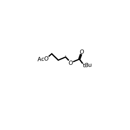 CC(=O)OCC[CH]OC(=O)C(C)(C)C